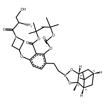 CC(C)(C)OC(=O)Oc1c(CCB2O[C@@H]3C[C@@H]4C[C@@H](C4(C)C)[C@]3(C)O2)ccc(OC2CN(C(=O)C(N)CO)C2)c1C(=O)OC(C)(C)C